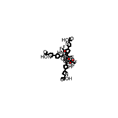 O=C(N[C@H](CF)[C@H](OP(=O)(O[C@H](c1ccc(-c2ccc(C3(O)COC3)nc2)cc1)[C@@H](CF)NC(=O)C(F)F)O[C@H](c1ccc(-c2ccc(C3(O)COC3)nc2)cc1)[C@@H](CF)NC(=O)C(F)F)c1ccc(-c2ccc(C3(O)COC3)nc2)cc1)C(F)F